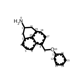 NC1Cc2cccc3c(COc4ccccc4)ccc(c23)C1